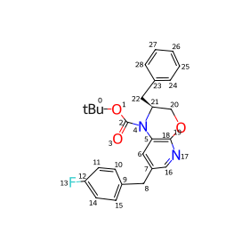 CC(C)(C)OC(=O)N1c2cc(Cc3ccc(F)cc3)cnc2OC[C@@H]1Cc1ccccc1